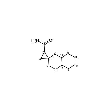 NC(=O)C1CC12CCC1CCCCC1C2